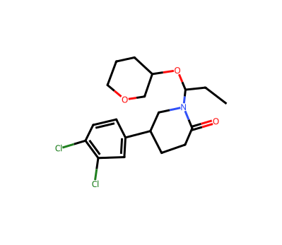 CCC(OC1CCCOC1)N1CC(c2ccc(Cl)c(Cl)c2)CCC1=O